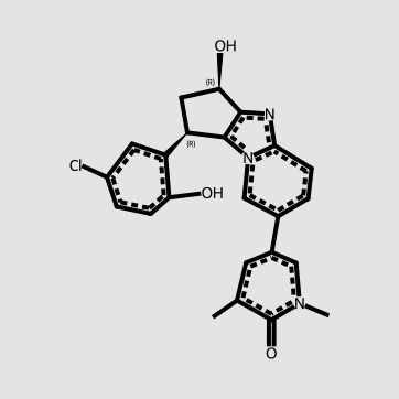 Cc1cc(-c2ccc3nc4c(n3c2)[C@@H](c2cc(Cl)ccc2O)C[C@H]4O)cn(C)c1=O